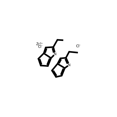 CCC1=NC2=CC=CC2=C1.CCC1=NC2=CC=CC2=C1.[Cl-].[Cl-].[Zr+2]